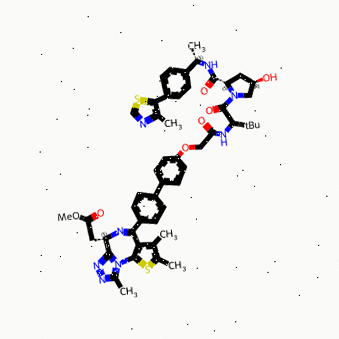 COC(=O)C[C@@H]1N=C(c2ccc(-c3ccc(OCC(=O)NC(C(=O)N4C[C@H](O)C[C@H]4C(=O)N[C@@H](C)c4ccc(-c5scnc5C)cc4)C(C)(C)C)cc3)cc2)c2c(sc(C)c2C)-n2c(C)nnc21